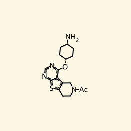 CC(=O)N1CCc2sc3ncnc(O[C@H]4CC[C@H](N)CC4)c3c2C1